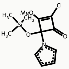 COC1=C(Cl)C(=O)C1(O[Si](C)(C)C)n1cccc1